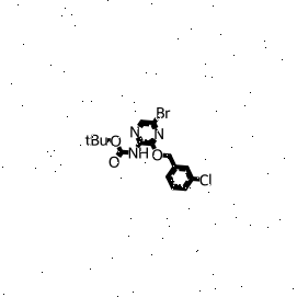 CC(C)(C)OC(=O)Nc1ncc(Br)nc1OCc1cccc(Cl)c1